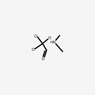 CNC.O=CC(Cl)(Cl)Cl